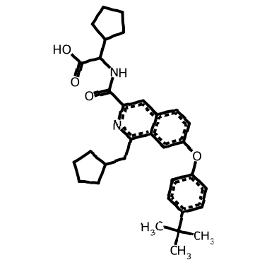 CC(C)(C)c1ccc(Oc2ccc3cc(C(=O)NC(C(=O)O)C4CCCC4)nc(CC4CCCC4)c3c2)cc1